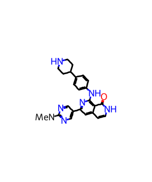 CNc1ncc(-c2cc3cc[nH]c(=O)c3c(Nc3ccc(C4CCNCC4)cc3)n2)cn1